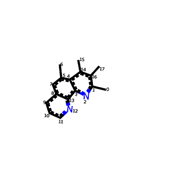 Cc1nc2c(c(C)cc3cccnc32)c(C)c1C